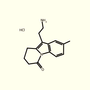 Cc1ccc2c(c1)c(CCN)c1n2C(=O)CCC1.Cl